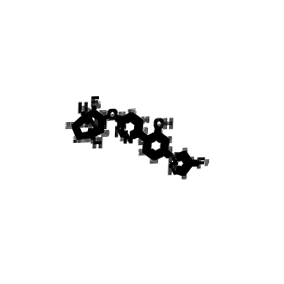 Oc1cc(-n2cc(F)cn2)ccc1-c1ccc(O[C@H]2C[C@@H]3CC[C@@H](N3)[C@H]2F)nn1